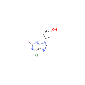 O[C@@H]1C=C[C@H](n2cnc3c(Cl)nc(I)nc32)C1